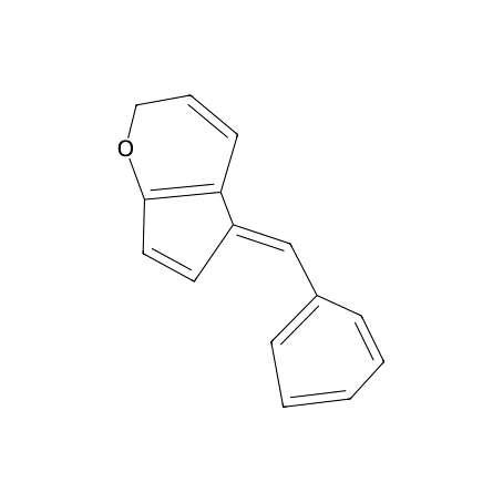 C1=CC2=C(C=CC2=Cc2ccccc2)OC1